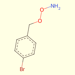 NOOCc1ccc(Br)cc1